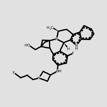 C[C@H]1Cc2c([nH]c3ccccc23)[C@@H]2c3c(F)cc(NC4CN(CCCF)C4)cc3C3C4(CO)CC3(C4)N21